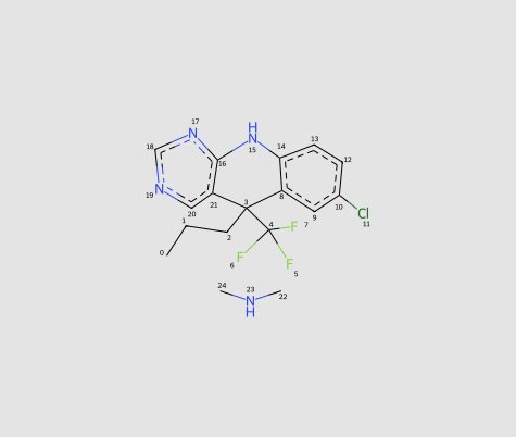 CCCC1(C(F)(F)F)c2cc(Cl)ccc2Nc2ncncc21.CNC